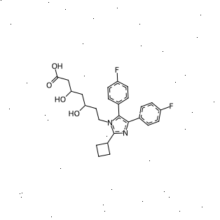 O=C(O)CC(O)CC(O)CCn1c(C2CCC2)nc(-c2ccc(F)cc2)c1-c1ccc(F)cc1